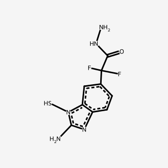 NNC(=O)C(F)(F)c1ccc2nc(N)n(S)c2c1